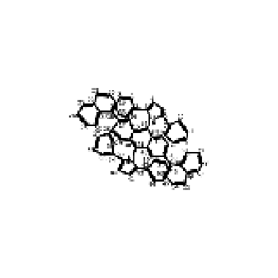 C1=CC(c2ccc(-c3ccccc3)n2-c2c3cc(-c4cccc5ccccc45)ccc3c(-n3c(-c4ccccc4)ccc3-c3ccccc3)c3cc(-c4cccc5ccccc45)ccc23)=CCC1